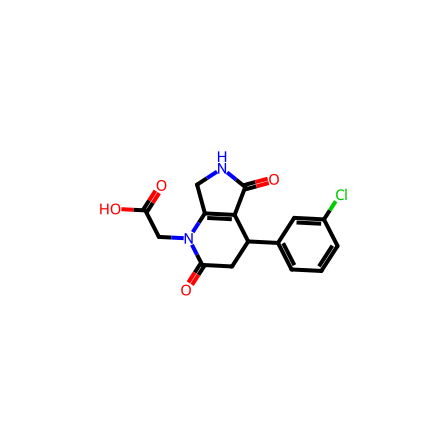 O=C(O)CN1C(=O)CC(c2cccc(Cl)c2)C2=C1CNC2=O